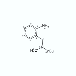 CCCCN(C)Cc1ccccc1N